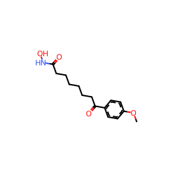 COc1ccc(C(=O)CCCCCCC(=O)NO)cc1